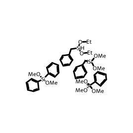 CCO[SiH](Cc1ccccc1)OCC.CO[SiH](Cc1ccccc1)OC.CO[Si](OC)(OC)c1ccccc1.CO[Si](OC)(c1ccccc1)c1ccccc1